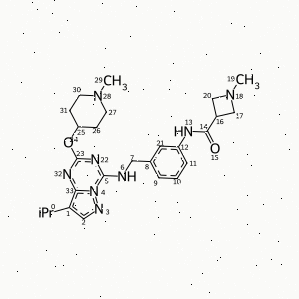 CC(C)c1cnn2c(NCc3cccc(NC(=O)C4CN(C)C4)c3)nc(OC3CCN(C)CC3)nc12